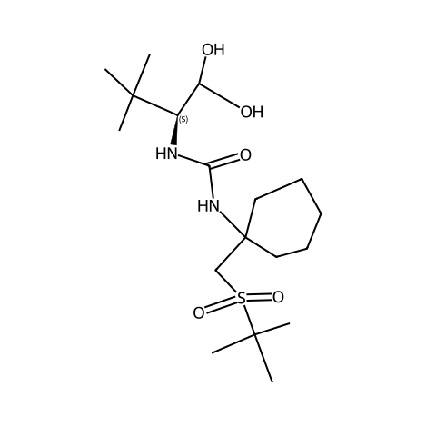 CC(C)(C)[C@H](NC(=O)NC1(CS(=O)(=O)C(C)(C)C)CCCCC1)C(O)O